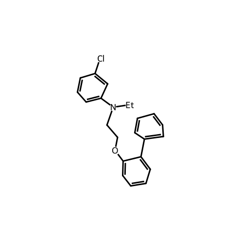 CCN(CCOc1ccccc1-c1ccccc1)c1cccc(Cl)c1